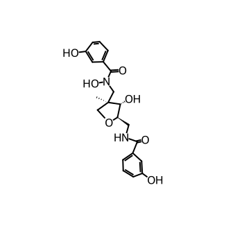 C[C@@]1(CN(O)C(=O)c2cccc(O)c2)CO[C@H](CNC(=O)c2cccc(O)c2)[C@H]1O